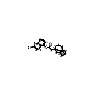 O=C(CC12CCCC3CC(CC3C1)C2)Nc1cccc2nc(Cl)ccc12